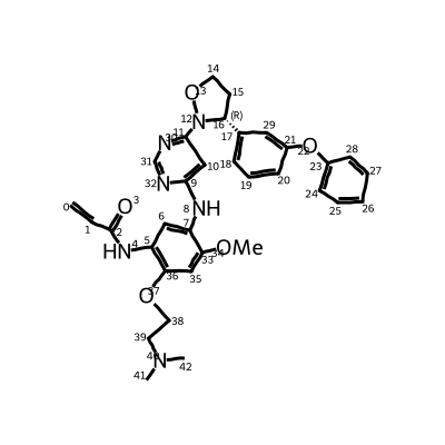 C=CC(=O)Nc1cc(Nc2cc(N3OCC[C@@H]3c3cccc(Oc4ccccc4)c3)ncn2)c(OC)cc1OCCN(C)C